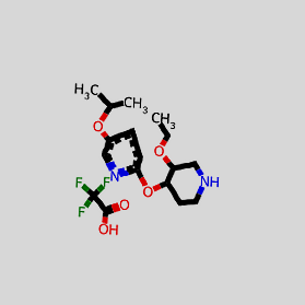 CCOC1CNCCC1Oc1ccc(OC(C)C)cn1.O=C(O)C(F)(F)F